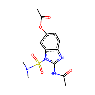 CC(=O)Nc1nc2ccc(OC(C)=O)cc2n1S(=O)(=O)N(C)C